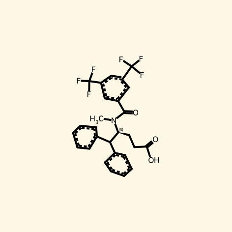 CN(C(=O)c1cc(C(F)(F)F)cc(C(F)(F)F)c1)[C@@H](CCC(=O)O)C(c1ccccc1)c1ccccc1